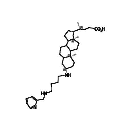 C[C@H](CCC(=O)O)C1CCC2C3CCC4C[C@@H](NCCCCNCc5ccccn5)CC[C@]4(C)C3CC[C@@]21C